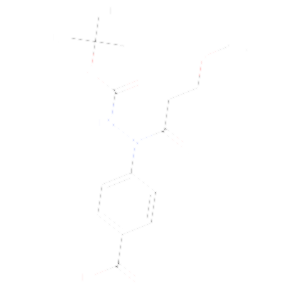 COCCC(=O)N(NC(=O)OC(C)(C)C)c1ccc(C(=O)O)cc1